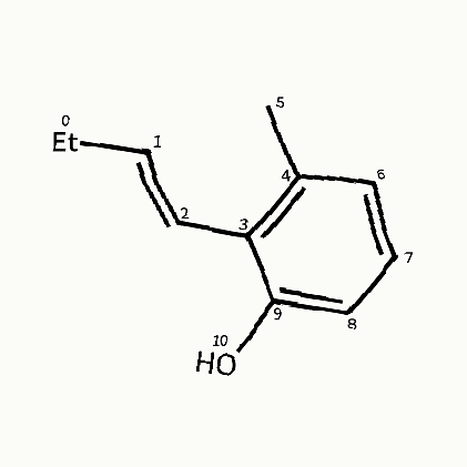 CCC=Cc1c(C)cccc1O